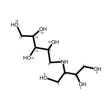 OCC(O)C(CO)NCC(O)C(O)C(O)CO